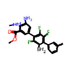 Bc1c(F)c(-c2cc(N)c(NC)c(C(=O)OC)c2)c(F)c(F)c1-c1cccc(C)c1